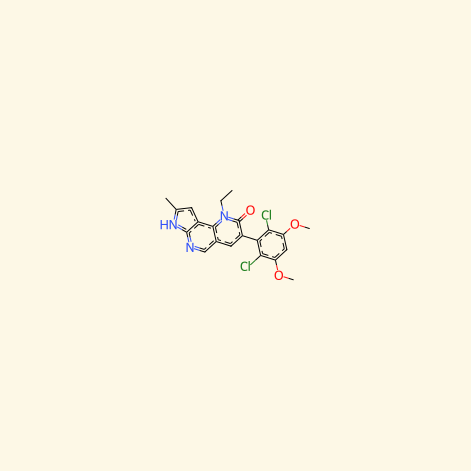 CCn1c(=O)c(-c2c(Cl)c(OC)cc(OC)c2Cl)cc2cnc3[nH]c(C)cc3c21